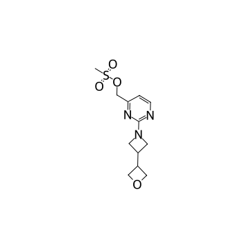 CS(=O)(=O)OCc1ccnc(N2CC(C3COC3)C2)n1